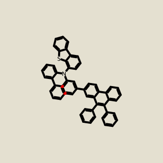 c1ccc(-c2ccccc2N(c2cccc(-c3ccc4c(c3)c(-c3ccccc3)c(-c3ccccc3)c3ccccc34)c2)c2cccc3c2sc2ccccc23)cc1